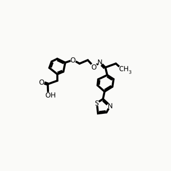 CCC(=NOCCOc1cccc(CC(=O)O)c1)c1ccc(-c2nccs2)cc1